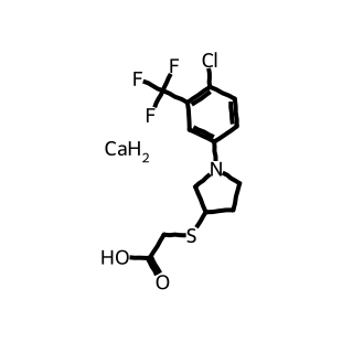 O=C(O)CSC1CCN(c2ccc(Cl)c(C(F)(F)F)c2)C1.[CaH2]